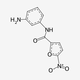 Nc1cccc(NC(=O)c2ccc([N+](=O)[O-])o2)c1